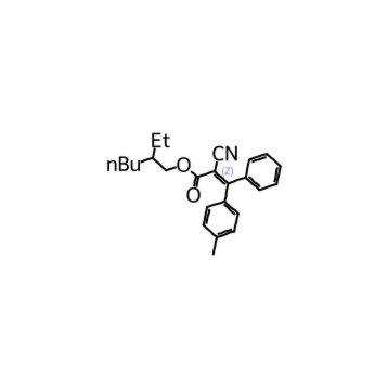 CCCCC(CC)COC(=O)/C(C#N)=C(/c1ccccc1)c1ccc(C)cc1